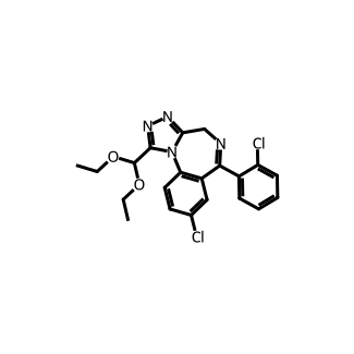 CCOC(OCC)c1nnc2n1-c1ccc(Cl)cc1C(c1ccccc1Cl)=NC2